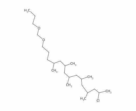 CCCOCOCCCC(C)CC(C)CC(C)CC(C)CC(C)CC(C)Cl